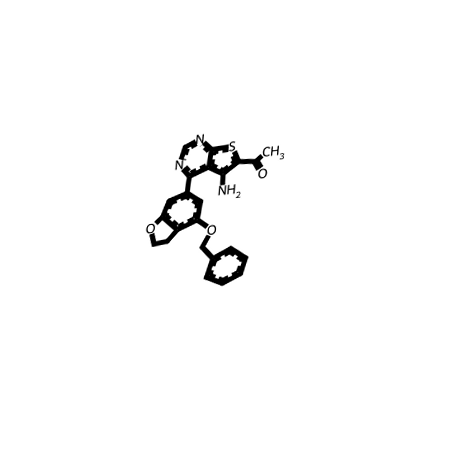 CC(=O)c1sc2ncnc(-c3cc4c(c(OCc5ccccc5)c3)CCO4)c2c1N